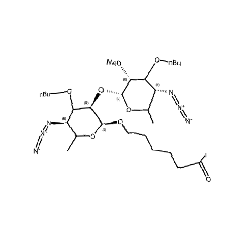 CCCCOC1[C@H](N=[N+]=[N-])C(C)O[C@H](O[C@@H]2C(OCCCC)[C@H](N=[N+]=[N-])C(C)O[C@@H]2OCCCCCC(=O)I)[C@@H]1OC